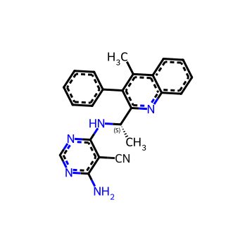 Cc1c(-c2ccccc2)c([C@H](C)Nc2ncnc(N)c2C#N)nc2ccccc12